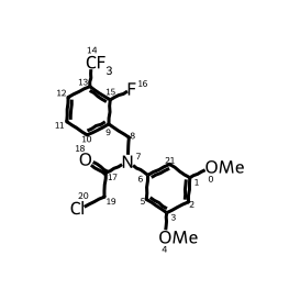 COc1cc(OC)cc(N(Cc2cccc(C(F)(F)F)c2F)C(=O)CCl)c1